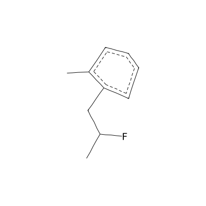 Cc1ccccc1CC(C)F